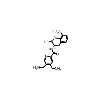 NCc1cnc(C(=O)N[C@H]2Cc3cccc(C(=O)O)c3OB2O)cc1CN